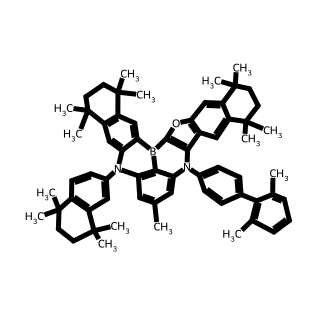 Cc1cc2c3c(c1)N(c1ccc(-c4c(C)cccc4C)cc1)c1c(oc4cc5c(cc14)C(C)(C)CCC5(C)C)B3c1cc3c(cc1N2c1ccc2c(c1)C(C)(C)CCC2(C)C)C(C)(C)CCC3(C)C